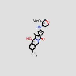 CO[C@@H]1COCC[C@@H]1N[C@@H]1CC[C@@]2(C1)C(=O)N1Cc3cc(C(F)(F)F)ccc3[C@H](O)C1C2C